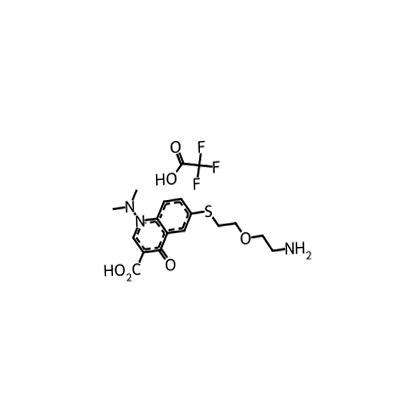 CN(C)n1cc(C(=O)O)c(=O)c2cc(SCCOCCN)ccc21.O=C(O)C(F)(F)F